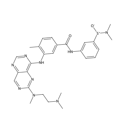 Cc1ccc(C(=O)Nc2cccc([S+]([O-])N(C)C)c2)cc1Nc1ncnc2cnc(N(C)CCN(C)C)nc12